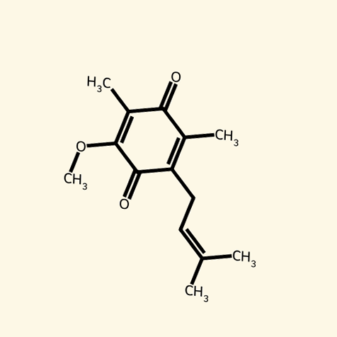 COC1=C(C)C(=O)C(C)=C(CC=C(C)C)C1=O